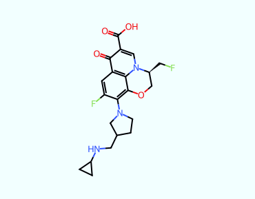 O=C(O)c1cn2c3c(c(N4CCC(CNC5CC5)C4)c(F)cc3c1=O)OC[C@@H]2CF